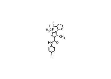 Cc1cc(C(=O)Nc2ccc(Cl)cc2)c(C)n1-c1ccccc1C(F)(F)F